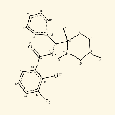 CC1CCC(C)([C@H](NC(=O)c2cccc(Cl)c2Cl)c2ccccc2)N(C)C1